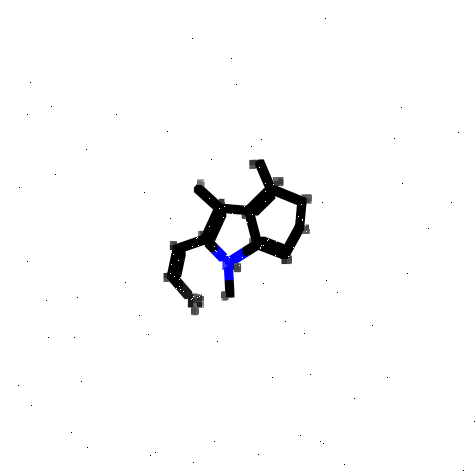 CC/C=C\c1c(C)c2c(n1C)=CCCC=2C